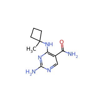 CC1(Nc2nc(N)ncc2C(N)=O)CCC1